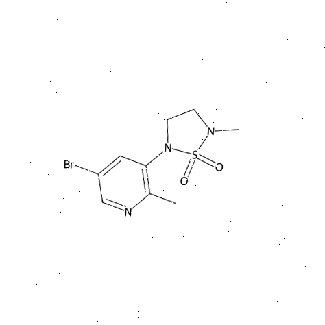 Cc1ncc(Br)cc1N1CCN(C)S1(=O)=O